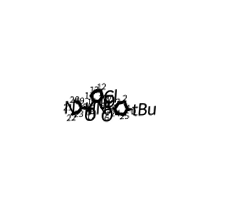 CC(C)(C)c1ccc(S(=O)(=O)Nc2c(Cl)cccc2C(=O)c2ccncc2)cc1